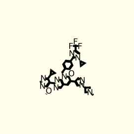 COc1ncnc(C2CC2)c1-c1ncc2cc(-c3cnn(C4CN(C)C4)c3)c(=O)n(Cc3ccc(-c4nc(C(F)(F)F)cn4C4CC4)cc3)c2n1